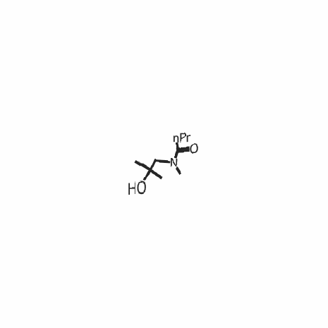 CCCC(=O)N(C)CC(C)(C)O